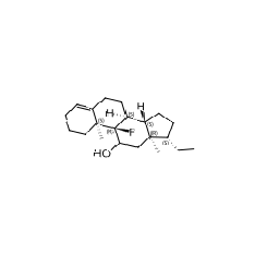 CC[C@H]1CC[C@H]2[C@@H]3CCC4=CCCC[C@]4(C)[C@@]3(F)C(O)C[C@]12C